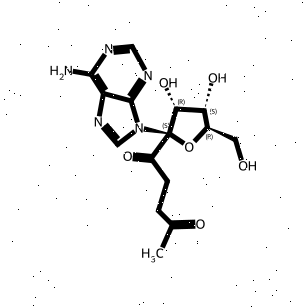 CC(=O)CCC(=O)[C@@]1(n2cnc3c(N)ncnc32)O[C@H](CO)[C@@H](O)[C@H]1O